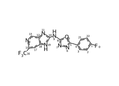 Fc1ccc(-c2nnc(Nc3nc4cnc(C(F)(F)F)cc4[nH]3)o2)cc1